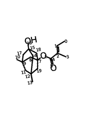 CC=C(C)C(=O)OC12CC3(C)CC(C)(CC(O)(C3)C1)C2